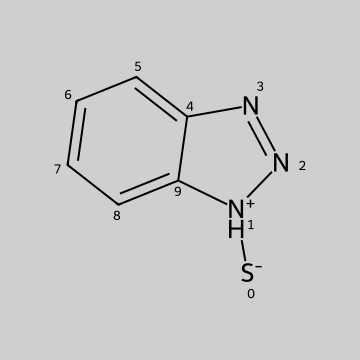 [S-][NH+]1N=Nc2ccccc21